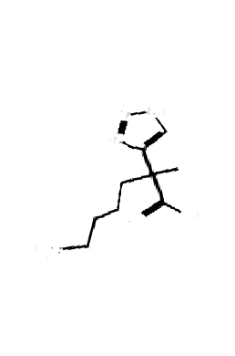 CC(CCCCN)(C(=O)O)c1c[nH]nn1